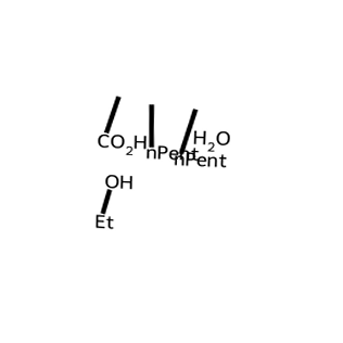 CC(=O)O.CCCCCC.CCCCCC.CCO.O